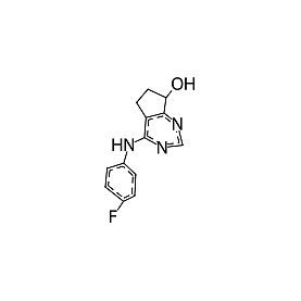 OC1CCc2c(Nc3ccc(F)cc3)ncnc21